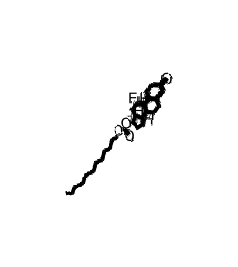 CCCCCCCCCCCCOC(=O)O[C@H]1CC[C@H]2[C@@H]3CCC4=CC(=O)CC[C@@H]4[C@H]3[C@@H](F)C[C@]12C